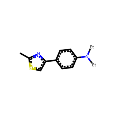 CCN(CC)c1ccc(-c2csc(C)n2)cc1